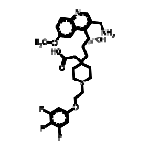 COc1ccc2ncc(CN)c([C@H](O)CCC3(CC(=O)O)CCN(CCOc4cc(F)c(F)c(F)c4)CC3)c2c1